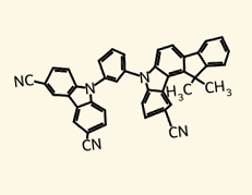 CC1(C)c2ccccc2-c2ccc3c(c21)c1cc(C#N)ccc1n3-c1cccc(-n2c3ccc(C#N)cc3c3cc(C#N)ccc32)c1